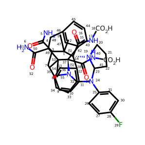 CC1(C)C(C(N)=O)Cc2cccc(c2)[C@@]1(C(=O)NC(=O)O)N1CCCC1N(c1ccc(F)cc1)C1CCCN1[C@]1(C(=O)NC(=O)O)c2cccc(c2)CC(C(N)=O)C1(C)C